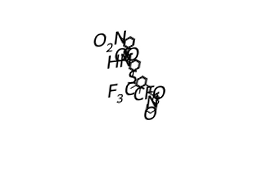 O=C(C=Cc1ccc(Sc2cccc(NS(=O)(=O)c3cccc([N+](=O)[O-])c3)c2)c(C(F)(F)F)c1C(F)(F)F)N1CCOCC1